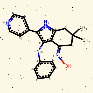 CC1(C)CC(=NO)c2c([nH]c(-c3ccncc3)c2Nc2ccccc2)C1